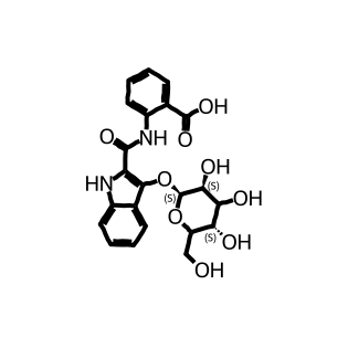 O=C(O)c1ccccc1NC(=O)c1[nH]c2ccccc2c1O[C@@H]1OC(CO)[C@@H](O)C(O)[C@@H]1O